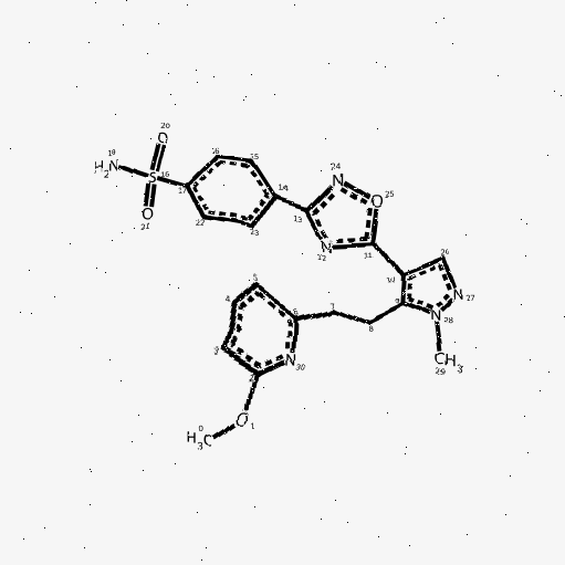 COc1cccc(CCc2c(-c3nc(-c4ccc(S(N)(=O)=O)cc4)no3)cnn2C)n1